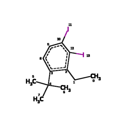 CCc1c(C(C)(C)C)ccc(I)c1I